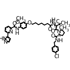 COc1cc(OCCCCCCC(=O)N[C@H](C(=O)N2CCC[C@H]2C(=O)NCc2ccc(Cl)cc2)C(C)(C)C)ccc1NC(=O)c1cccc(-c2ccn[nH]2)n1